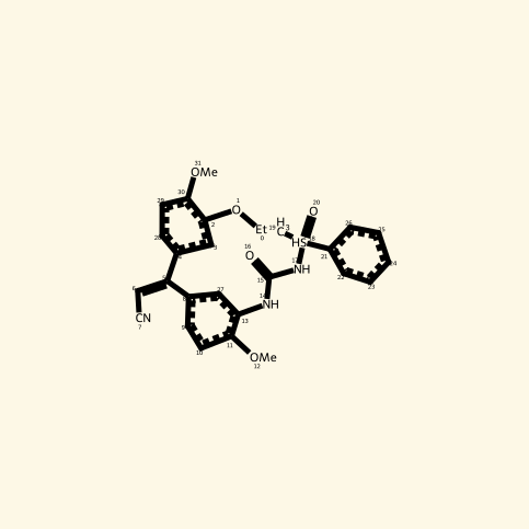 CCOc1cc(C(=CC#N)c2ccc(OC)c(NC(=O)N[SH](C)(=O)c3ccccc3)c2)ccc1OC